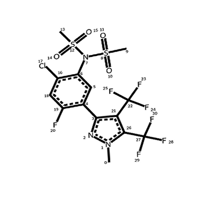 Cn1nc(-c2cc(N(S(C)(=O)=O)S(C)(=O)=O)c(Cl)cc2F)c(C(F)(F)F)c1C(F)(F)F